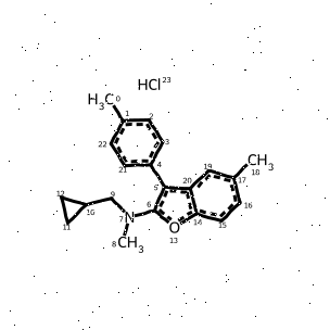 Cc1ccc(-c2c(N(C)CC3CC3)oc3ccc(C)cc23)cc1.Cl